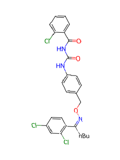 CCCCC(=NOCc1ccc(NC(=O)NC(=O)c2ccccc2Cl)cc1)c1ccc(Cl)cc1Cl